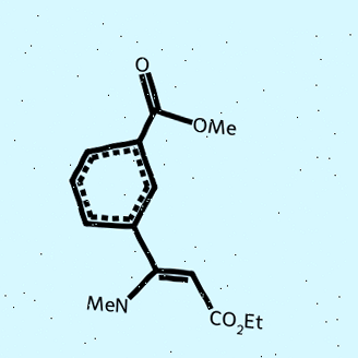 CCOC(=O)C=C(NC)c1cccc(C(=O)OC)c1